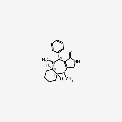 CN1C2=C(C(=O)NC2)[C@@H](c2ccccc2)N(C)[C@@H]2CCCC[C@H]21